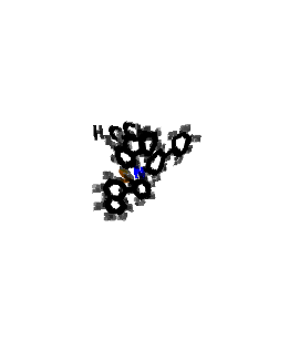 CC1(C)c2ccccc2-c2c(N(C3=CC=C(C4=CC=CCC4)CC3)c3cccc4c3sc3ccc5ccccc5c34)cccc21